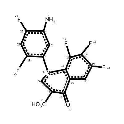 Nc1cc(-n2cc(C(=O)O)c(=O)c3cc(F)c(F)c(F)c32)c(F)cc1F